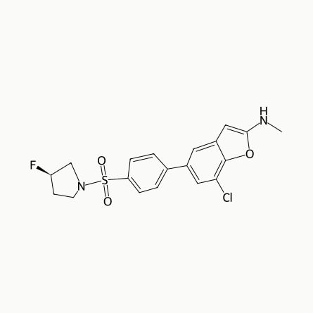 CNc1cc2cc(-c3ccc(S(=O)(=O)N4CC[C@@H](F)C4)cc3)cc(Cl)c2o1